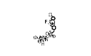 CC(C)(C)OC(=O)Nc1nc(CN2C(=O)SC(=Cc3ccc4c(cnn4Cc4ccc(Cl)cc4C(F)(F)F)c3)C2=O)c[nH]1